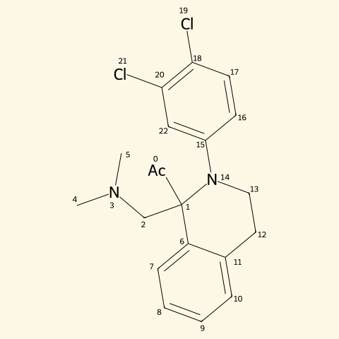 CC(=O)C1(CN(C)C)c2ccccc2CCN1c1ccc(Cl)c(Cl)c1